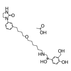 CC(=O)O.O=C1NCCN1c1cccc(CCCCOCCCCCCNC[C@H](O)c2ccc(O)c(CO)c2)c1